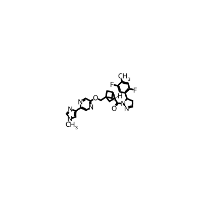 Cc1cc(F)c(C2CC=NN2C(=O)[C@H]2CC3(COc4cnc(-c5cn(C)cn5)cn4)CC2C3)cc1F